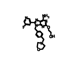 Nc1nc(OCCO)nc2c1nc(-c1cncc(F)c1)n2Cc1ccc(CN2CCOCC2)cc1